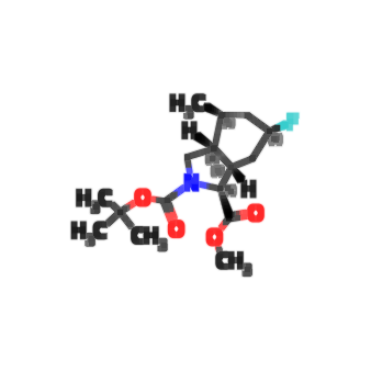 COC(=O)[C@@H]1[C@H]2C[C@H](F)C[C@H](C)[C@H]2CN1C(=O)OC(C)(C)C